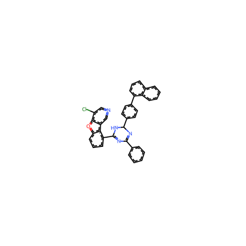 Clc1cncc2c1oc1cccc(C3=NC(c4ccccc4)=NC(c4ccc(-c5cccc6ccccc56)cc4)N3)c12